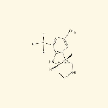 Cc1cc2c(c(C(F)(F)F)c1)N[C@H]1CCNC[C@@H]21